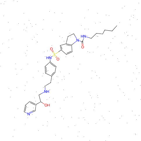 CCCCCCNC(=O)N1CCc2cc(S(=O)(=O)Nc3ccc(CCNCC(O)c4cccnc4)cc3)ccc21